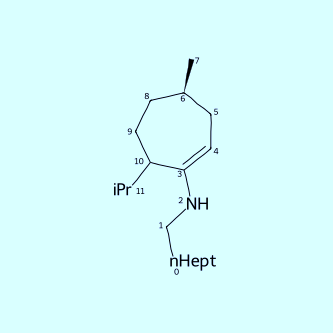 CCCCCCCCNC1=CC[C@H](C)CCC1C(C)C